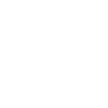 COc1ccc(C(Br)C(=O)OC(C)[Si](C)(C)C)cc1